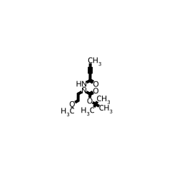 CC#CC(=O)NN(CCOC)C(=O)OC(C)(C)C